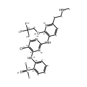 CNCCc1ccc(Nc2ncc(Cl)c(Nc3ccccc3P(C)(C)=O)n2)c(OCC(F)(F)F)n1